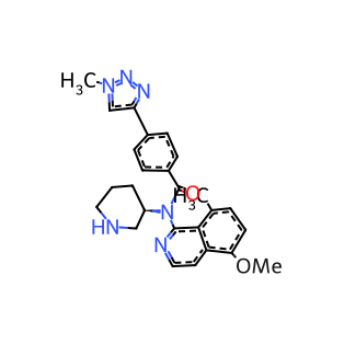 COc1ccc(C)c2c(N(C(=O)c3ccc(-c4cn(C)nn4)cc3)[C@@H]3CCCNC3)nccc12